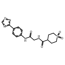 O=C(CNC(=O)C1CCS(=O)(=O)CC1)Nc1ccc(-c2ncon2)cc1